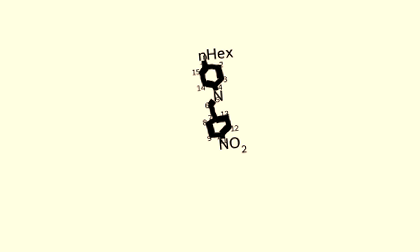 CCCCCCc1ccc(/N=C/c2ccc([N+](=O)[O-])cc2)cc1